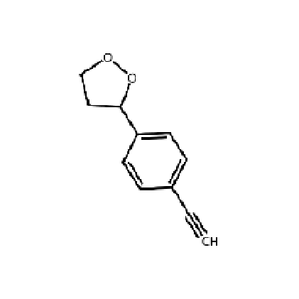 C#Cc1ccc(C2CCOO2)cc1